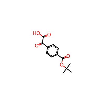 CC(C)(C)OC(=O)c1ccc(C(=O)C(=O)O)cc1